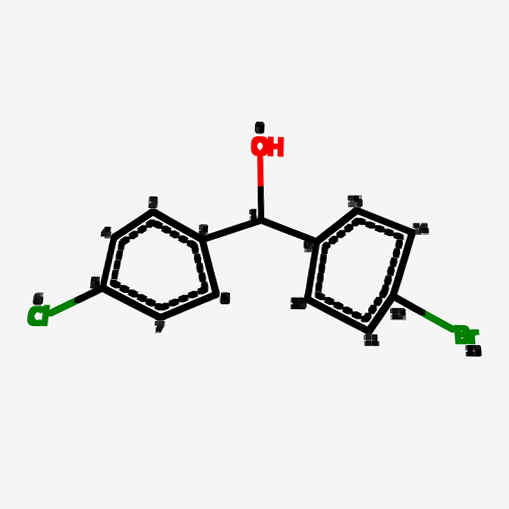 OC(c1ccc(Cl)cc1)c1ccc(Br)cc1